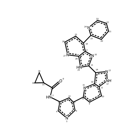 O=C(Nc1cncc(-c2ccc3[nH]nc(-c4nc5c(-c6ccccn6)ccnc5[nH]4)c3n2)c1)C1CC1